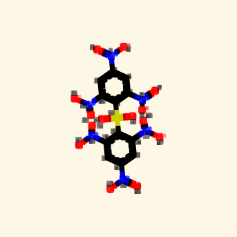 O=[N+]([O-])c1cc([N+](=O)[O-])c(S(=O)(=O)c2c([N+](=O)[O-])cc([N+](=O)[O-])cc2[N+](=O)[O-])c([N+](=O)[O-])c1